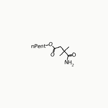 CCCCCOC(=O)CC(C)(C)C(N)=O